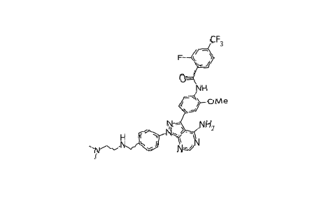 COc1cc(-c2nn(-c3ccc(CNCCN(C)C)cc3)c3ncnc(N)c23)ccc1NC(=O)c1ccc(C(F)(F)F)cc1F